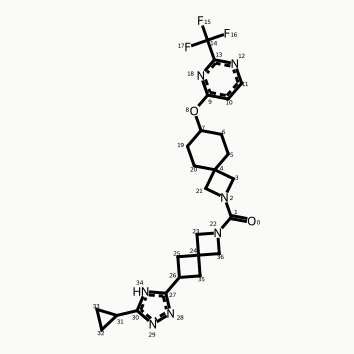 O=C(N1CC2(CCC(Oc3ccnc(C(F)(F)F)n3)CC2)C1)N1CC2(CC(c3nnc(C4CC4)[nH]3)C2)C1